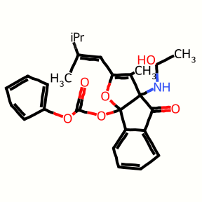 CC1=C(/C=C(\C)C(C)C)OC2(OC(=O)Oc3ccccc3)c3ccccc3C(=O)C12NC(C)O